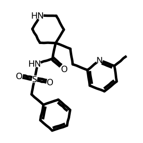 Cc1cccc(CCC2(C(=O)NS(=O)(=O)Cc3ccccc3)CCNCC2)n1